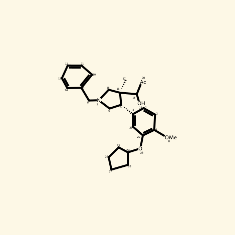 COc1ccc([C@@H]2CN(Cc3ccccc3)C[C@@]2(C)C(O)C(C)=O)cc1OC1CCCC1